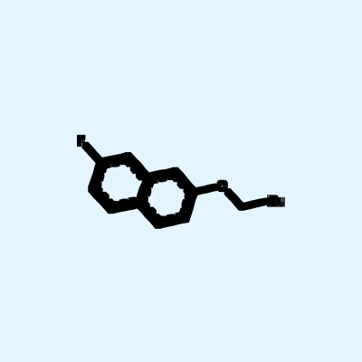 CCC(C)COc1ccc2ccc(F)cc2c1